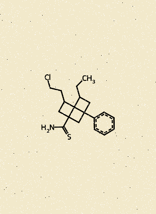 CCC1CC2(c3ccccc3)CC3(C(N)=S)CC(CCCl)C132